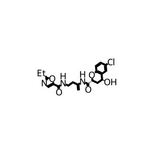 C=C(CCNC(=O)c1cnc(CC)o1)NC(=O)[C@H]1C[C@@H](O)c2cc(Cl)ccc2O1